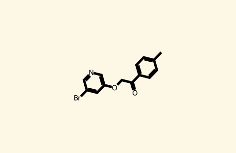 Cc1ccc(C(=O)COc2cncc(Br)c2)cc1